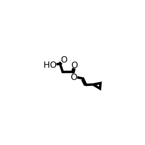 O=C(O)CC(=O)OC=CC1CC1